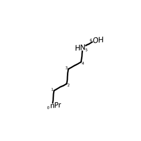 C[CH]CCCCCNO